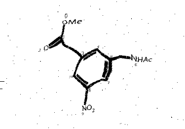 COC(=O)c1cc(NC(C)=O)cc([N+](=O)[O-])c1